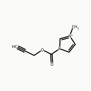 C#CCOC(=O)n1cc[n+](C)c1